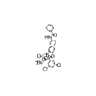 CC(C)(C)OC(=O)CN(c1ccc2ccc(NC(=O)c3ccccc3)cc2c1)S(=O)(=O)c1cc(Cl)cc(Cl)c1